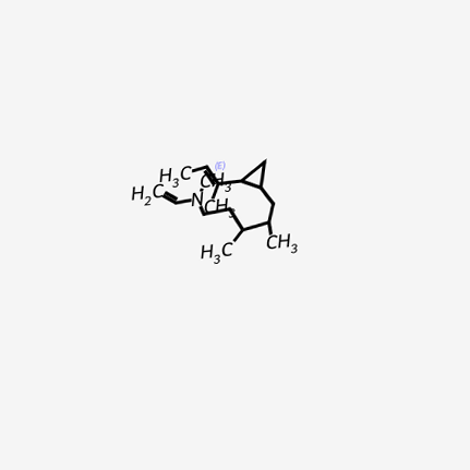 C=CN(C)CCC(C)C(C)CC1CC1/C(C)=C/C